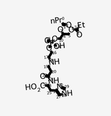 CCCC(=O)OC(COC(=O)CC)COP(=O)(O)OCCNCCC(=O)NC(Cc1c[nH]cn1)C(=O)O